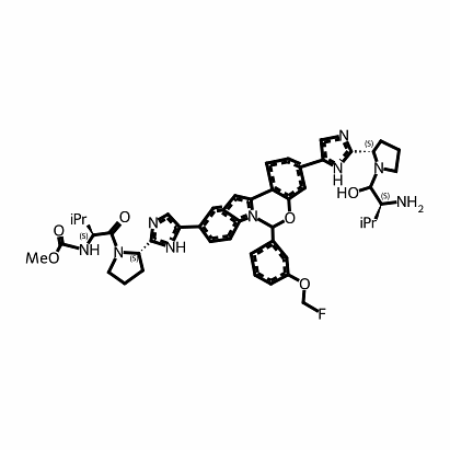 COC(=O)N[C@H](C(=O)N1CCC[C@H]1c1ncc(-c2ccc3c(c2)cc2n3C(c3cccc(OCF)c3)Oc3cc(-c4cnc([C@@H]5CCCN5C(O)[C@@H](N)C(C)C)[nH]4)ccc3-2)[nH]1)C(C)C